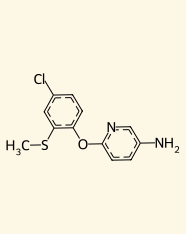 CSc1cc(Cl)ccc1Oc1ccc(N)cn1